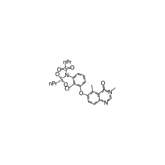 CCCS(=O)(=O)N(c1cccc(Oc2ccc3ncn(C)c(=O)c3c2C)c1Cl)S(=O)(=O)CCC